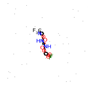 O=C(COc1ccc(C(F)(F)F)nc1)NC12CC(NC(=O)COc3ccc4c(c3)OC(F)(F)O4)(C1)C2